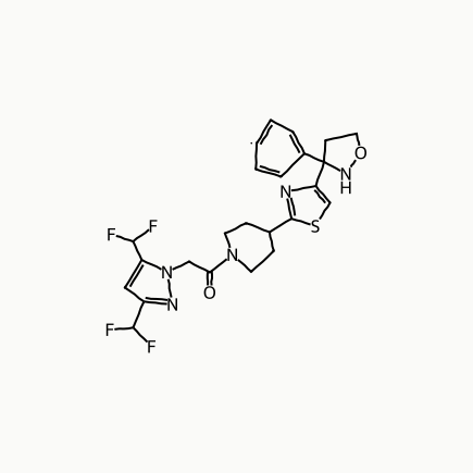 O=C(Cn1nc(C(F)F)cc1C(F)F)N1CCC(c2nc(C3(c4cc[c]cc4)CCON3)cs2)CC1